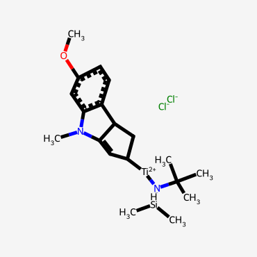 COc1ccc2c(c1)N(C)C1=C[CH]([Ti+2][N]([SiH](C)C)C(C)(C)C)CC12.[Cl-].[Cl-]